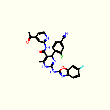 CC(=O)c1ccnc(NC(=O)C2=C(C)NC(Nc3nc4ccc(F)cc4o3)=NC2c2ccc(C#N)cc2Cl)c1